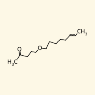 CC=CCCCCCOCCCC(C)=O